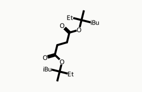 CCC(C)C(C)(CC)OC(=O)CCC(=O)OC(C)(CC)C(C)CC